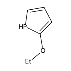 CCOc1ccc[pH]1